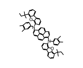 CCC(C)(C)c1cccc2c1oc1c(N(c3ccc(C)c(C)c3)c3ccc4ccc5c(N(c6ccc(C)c(C)c6)c6cccc7c6oc6c(C(C)(C)CC)cccc67)ccc6ccc3c4c65)cccc12